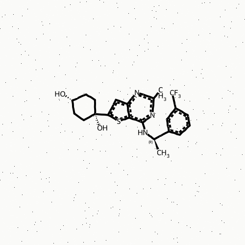 Cc1nc(N[C@H](C)c2cccc(C(F)(F)F)c2)c2sc([C@]3(O)CC[C@@H](O)CC3)cc2n1